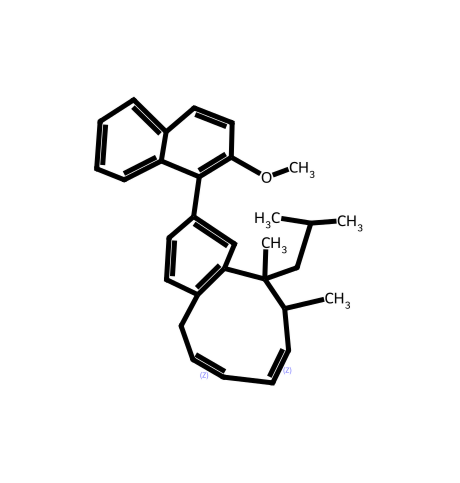 COc1ccc2ccccc2c1-c1ccc2c(c1)C(C)(CC(C)C)C(C)/C=C\C=C/C2